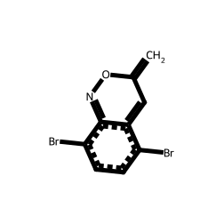 C=C1C=c2c(Br)ccc(Br)c2=NO1